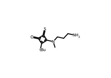 CN(CCCN)c1c(C(C)(C)C)c(=O)c1=S